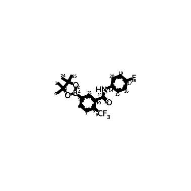 CC1(C)OB(c2ccc(C(F)(F)F)c(C(=O)Nc3ccc(F)cc3)c2)OC1(C)C